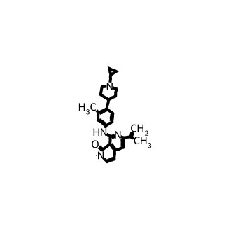 C=C(C)c1cc2c(c(Nc3ccc(C4CCN(C5CC5)CC4)c(C)c3)n1)C(=O)[N]C=C2